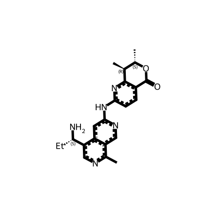 CC[C@H](N)c1cnc(C)c2cnc(Nc3ccc4c(n3)[C@@H](C)[C@H](C)OC4=O)cc12